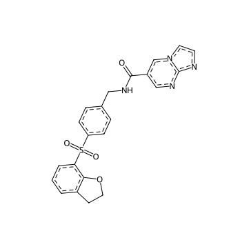 O=C(NCc1ccc(S(=O)(=O)c2cccc3c2OCC3)cc1)c1cnc2nccn2c1